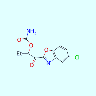 CCC(OC(N)=O)C(=O)c1nc2cc(Cl)ccc2o1